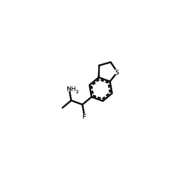 CC(N)C(F)c1ccc2c(c1)CCS2